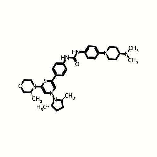 C[C@@H]1COCCN1C1=CN(N2[C@H](C)CC[C@@H]2C)C=C(c2ccc(NC(=O)Nc3ccc(N4CCC(N(C)C)CC4)cc3)cc2)S1